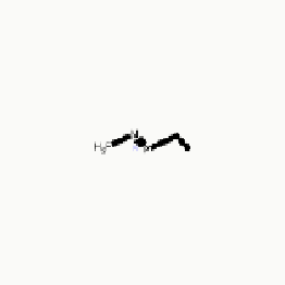 CC/P=N/P